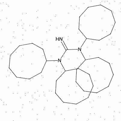 N=C(N(C1CCCCCCCC1)C1CCCCCCCC1)N(C1CCCCCCCC1)C1CCCCCCCC1